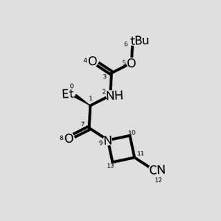 CC[C@@H](NC(=O)OC(C)(C)C)C(=O)N1CC(C#N)C1